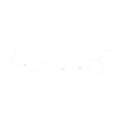 COCc1cccc(N2CCN(CCC3CCN(CC(C)=O)CC3)CC2)c1